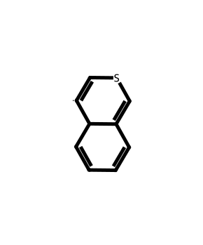 [C]1=CSC=C2C=CC=CC12